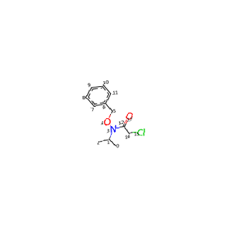 CC(C)N(OCc1ccccc1)C(=O)CCl